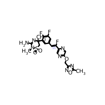 Cc1nc(COc2cnc(/C(F)=C/c3cc(F)c(F)c([C@]4(C)CS(=O)(=O)N(C)C(N)=N4)c3)cn2)no1